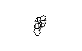 C[C@@]12CCC3C4CC4[C@@]31[C@@H]1CCC3CCCC[C@]3(C)[C@@H]1CC2